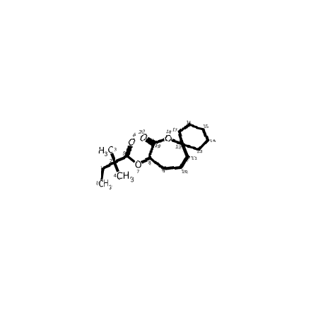 CCC(C)(C)C(=O)OC1CCCC2(CCCCC2)OC1=O